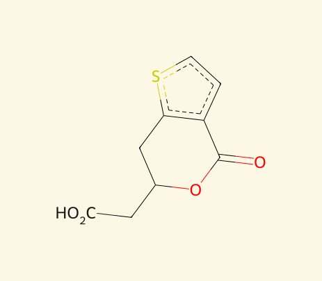 O=C(O)CC1Cc2sccc2C(=O)O1